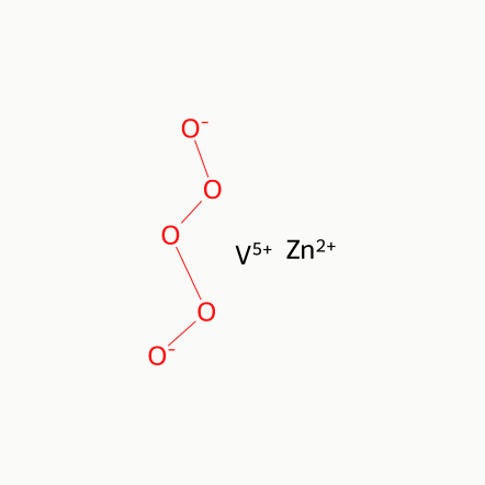 [O-]OOO[O-].[V+5].[Zn+2]